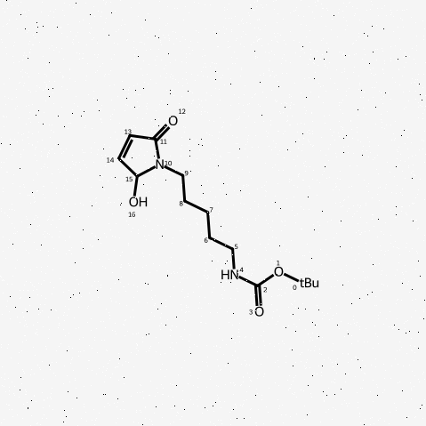 CC(C)(C)OC(=O)NCCCCCN1C(=O)C=CC1O